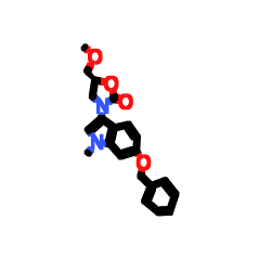 COC[C@@H]1CN(c2cn(C)c3cc(OCc4ccccc4)ccc23)C(=O)O1